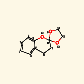 c1ccc2c(c1)CCC1(OCCO1)O2